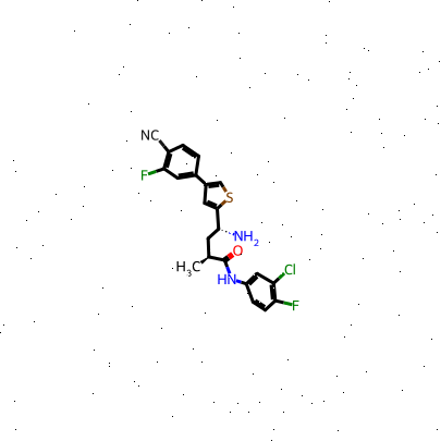 C[C@@H](C[C@@H](N)c1cc(-c2ccc(C#N)c(F)c2)cs1)C(=O)Nc1ccc(F)c(Cl)c1